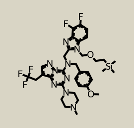 COc1ccc(CN(Cc2nc3c(F)c(F)ccc3n2COCC[Si](C)(C)C)c2nc(N3CCN(C)CC3)nc3c(CC(F)(F)F)cnn23)cc1